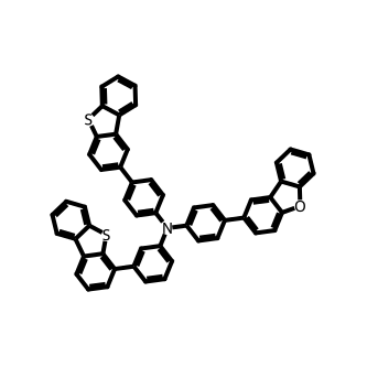 c1cc(-c2cccc3c2sc2ccccc23)cc(N(c2ccc(-c3ccc4oc5ccccc5c4c3)cc2)c2ccc(-c3ccc4sc5ccccc5c4c3)cc2)c1